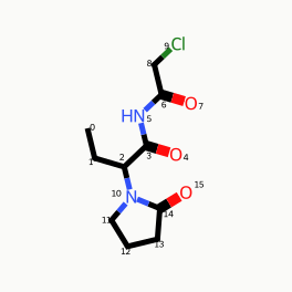 CCC(C(=O)NC(=O)CCl)N1CCCC1=O